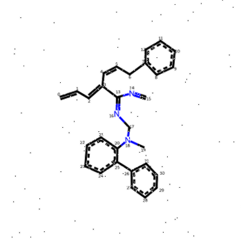 C=C/C=C(\C=C/Cc1ccccc1)C(/N=C)=N/CN(C)c1ccccc1-c1ccccc1